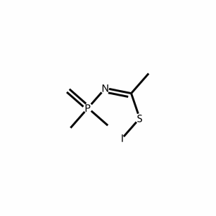 C=P(C)(C)/N=C(/C)SI